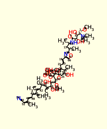 COC[C@@H]([C@H](O)[C@H](O)C(=O)N[C@H](C)C[C@H](C)c1nc(/C=C/C[C@@H]2O[C@]3(C[C@@H](O)[C@@H]2C)O[C@H]([C@H](C[C@H](O)[C@H](C)[C@H](O)[C@H](C)/C=C(C)/C(C)=C/C=C/C(C)=C\C#N)OC)[C@H](OP(=O)(O)O)C3(C)C)co1)N(C)C